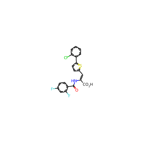 O=C(O)C(=Cc1ccc(-c2ccccc2Cl)s1)NC(=O)c1ccc(F)cc1F